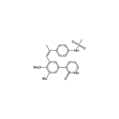 COc1c(/C=C(/C)c2ccc(NS(C)(=O)=O)cc2)cc(-c2ccc[nH]c2=O)cc1C(C)(C)C